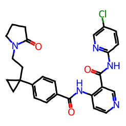 O=C(Nc1ccncc1C(=O)Nc1ccc(Cl)cn1)c1ccc(C2(CCN3CCCC3=O)CC2)cc1